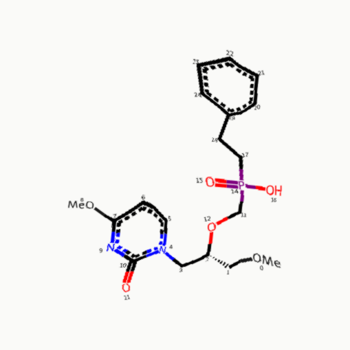 COC[C@H](Cn1ccc(OC)nc1=O)OCP(=O)(O)CCc1ccccc1